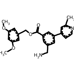 COc1cc(COC(=O)c2cc(CN)cc(-c3ccnc(C)c3)c2)cc(OC)c1